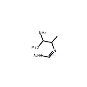 CNC(OC)C(C)/N=C\NC(C)=O